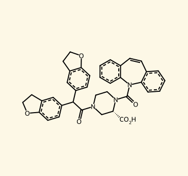 O=C(O)[C@@H]1CN(C(=O)C(c2ccc3c(c2)CCO3)c2ccc3c(c2)CCO3)CCN1C(=O)N1c2ccccc2C=Cc2ccccc21